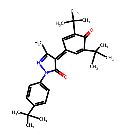 CC1=NN(c2ccc(C(C)(C)C)cc2)C(=O)C1=C1C=C(C(C)(C)C)C(=O)C(C(C)(C)C)=C1